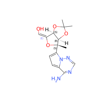 CC1(C)O[C@@H]2/C(=C\O)O[C@@](C)(c3ccc4c(N)ncnn34)[C@@H]2O1